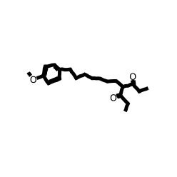 CCC(=O)C(CCCCCCCc1ccc(OC)cc1)C(=O)CC